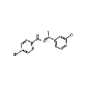 C/C(=N\Nc1ccc(Br)cc1)c1cccc(Cl)c1